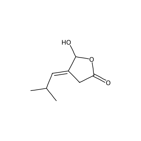 CC(C)/C=C1\CC(=O)OC1O